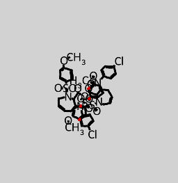 COc1ccc(S(=O)(=O)N2CC=CCC(N(c3ccc(Cl)cc3)S(C)(=O)=O)C2C(=O)OC(=O)C2C(N(c3ccc(Cl)cc3)S(=O)(=O)c3ccccc3)CC=CCN2S(=O)(=O)c2ccc(OC)cc2)cc1